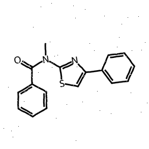 CN(C(=O)c1ccccc1)c1nc(-c2ccccc2)cs1